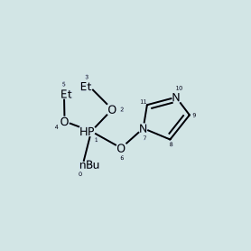 CCCC[PH](OCC)(OCC)On1ccnc1